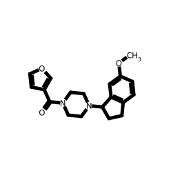 COc1ccc2c(c1)C(N1CCN(C(=O)c3ccoc3)CC1)CC2